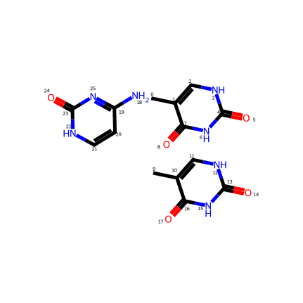 Cc1c[nH]c(=O)[nH]c1=O.Cc1c[nH]c(=O)[nH]c1=O.Nc1cc[nH]c(=O)n1